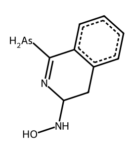 ONC1Cc2ccccc2C([AsH2])=N1